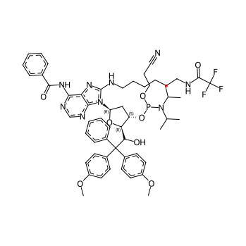 COc1ccc(C(c2ccccc2)(c2ccc(OC)cc2)C(O)[C@H]2O[C@@H](n3c(NCCCCCCNC(=O)C(F)(F)F)nc4c(NC(=O)c5ccccc5)ncnc43)C[C@@H]2OP(OCCC#N)N(C(C)C)C(C)C)cc1